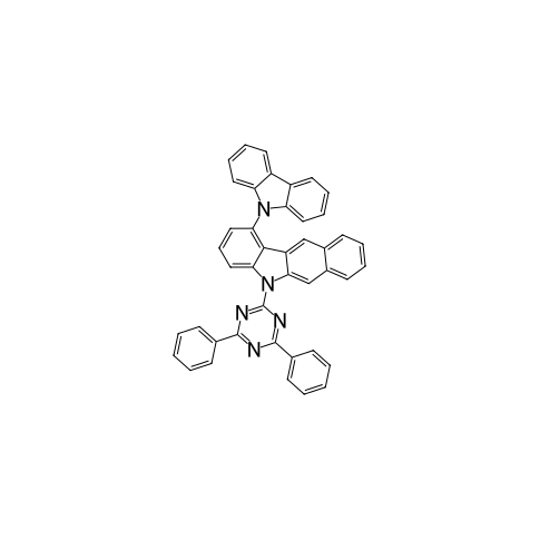 c1ccc(-c2nc(-c3ccccc3)nc(-n3c4cc5ccccc5cc4c4c(-n5c6ccccc6c6ccccc65)cccc43)n2)cc1